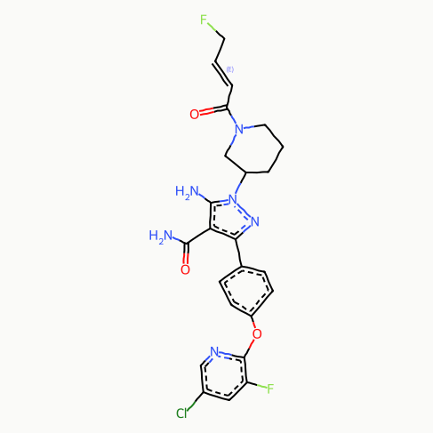 NC(=O)c1c(-c2ccc(Oc3ncc(Cl)cc3F)cc2)nn(C2CCCN(C(=O)/C=C/CF)C2)c1N